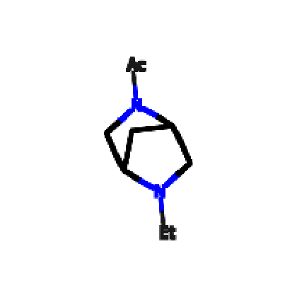 CCN1CC2CC1CN2C(C)=O